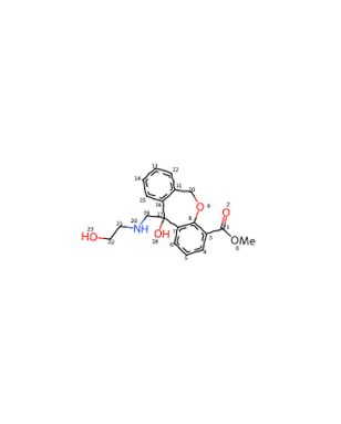 COC(=O)c1cccc2c1OCc1ccccc1C2(O)CNCCO